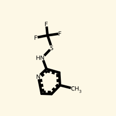 Cc1ccnc(NSC(F)(F)F)c1